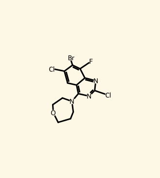 Fc1c(Br)c(Cl)cc2c(N3CCCOCC3)nc(Cl)nc12